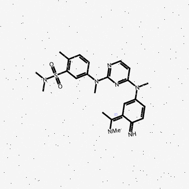 CN/C(C)=C1/C=C(N(C)c2ccnc(N(C)c3ccc(C)c(S(=O)(=O)N(C)C)c3)n2)C=CC1=N